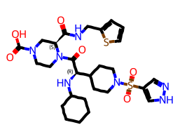 O=C(NCc1cccs1)[C@@H]1CN(C(=O)O)CCN1C(=O)[C@H](NC1CCCCC1)C1CCN(S(=O)(=O)c2cn[nH]c2)CC1